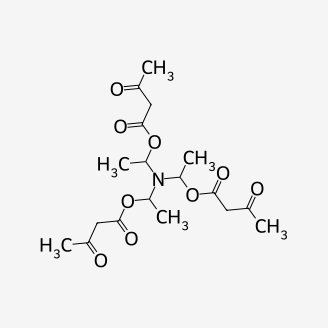 CC(=O)CC(=O)OC(C)N(C(C)OC(=O)CC(C)=O)C(C)OC(=O)CC(C)=O